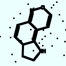 C1=CC2=C3NCCC3C=CC2=NO1